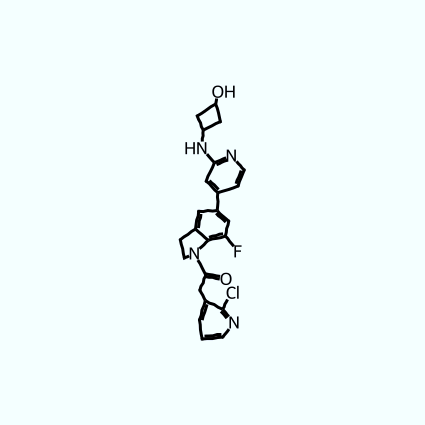 O=C(Cc1cccnc1Cl)N1CCc2cc(-c3ccnc(NC4CC(O)C4)c3)cc(F)c21